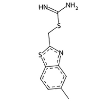 Cc1ccc2sc(CSC(=N)N)nc2c1